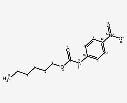 CCCCCCOC(=O)Nc1ccc([N+](=O)[O-])cc1